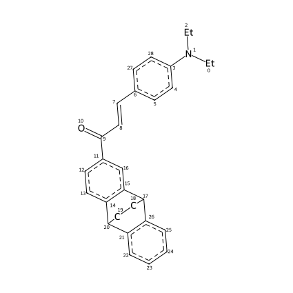 CCN(CC)c1ccc(C=CC(=O)c2ccc3c(c2)C2CCC3c3ccccc32)cc1